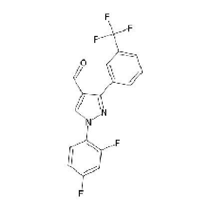 O=Cc1cn(-c2ccc(F)cc2F)nc1-c1cccc(C(F)(F)F)c1